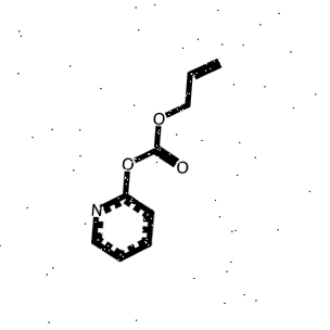 C=CCOC(=O)Oc1ccccn1